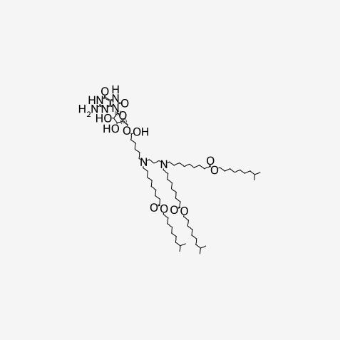 CC(C)CCCCCCCOC(=O)CCCCCCCCN(CCCCCCCCC(=O)OCCCCCCCC(C)C)CCCN(CCCCCCCCC(=O)OCCCCCCCC(C)C)CCCCCC(O)OC[C@@H]1O[C@H](n2c(=O)[nH]c3c(=O)[nH]c(N)nc32)C(O)C1O